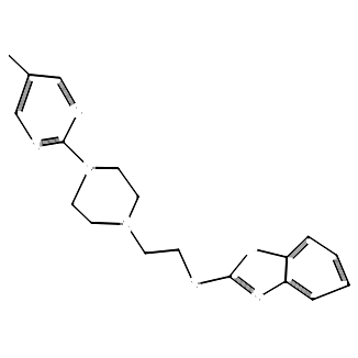 Cc1cnc(N2CCN(CCNc3nc4ccccc4s3)CC2)nc1